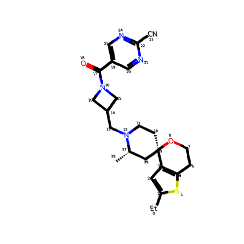 CCc1cc2c(s1)CCO[C@@]21CCN(CC2CN(C(=O)c3cnc(C#N)nc3)C2)[C@@H](C)C1